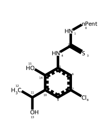 CCCCCNC(=S)Nc1cc(Cl)cc(C(C)O)c1O